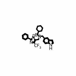 CCCCn1c(-c2ccccc2)nc(C(F)(F)F)c1CN(Cc1ccc2[nH]ccc2c1)CC1CCCCC1